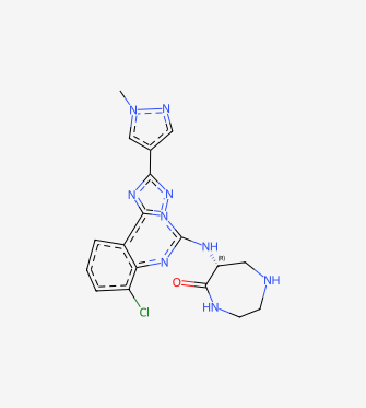 Cn1cc(-c2nc3c4cccc(Cl)c4nc(N[C@@H]4CNCCNC4=O)n3n2)cn1